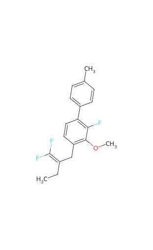 CCC(Cc1ccc(-c2ccc(C)cc2)c(F)c1OC)=C(F)F